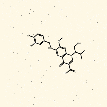 COc1nc2c(cc1NCc1ccc(Cl)c(Cl)c1)c(=O)c(C(=O)O)cn2C(CO)C(C)C